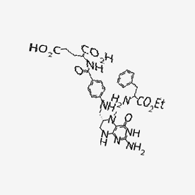 CCOC(=O)C(N)Cc1ccccc1.CN1c2c(nc(N)[nH]c2=O)NC[C@@H]1CNc1ccc(C(=O)NC(CCC(=O)O)C(=O)O)cc1